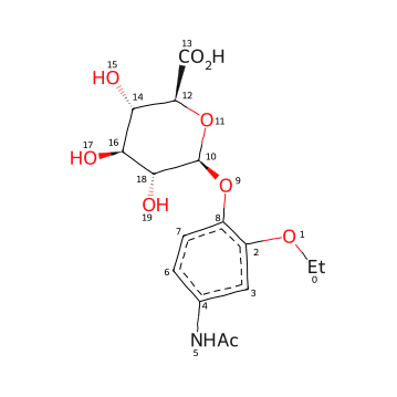 CCOc1cc(NC(C)=O)ccc1O[C@@H]1O[C@H](C(=O)O)[C@@H](O)[C@H](O)[C@H]1O